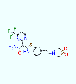 NC(=O)/C(=C1\Nc2ccc(CCN3CCS(=O)(=O)CC3)cc2S1)c1nccc(C(F)(F)F)n1